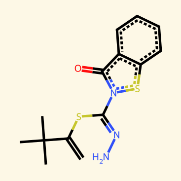 C=C(S/C(=N\N)n1sc2ccccc2c1=O)C(C)(C)C